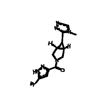 CC(C)c1cc(C(=O)N2C[C@@H]3C(c4nncn4C)[C@@H]3C2)n[nH]1